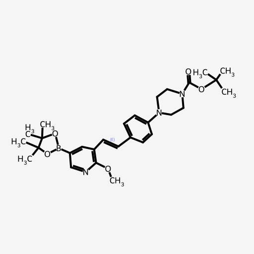 COc1ncc(B2OC(C)(C)C(C)(C)O2)cc1/C=C/c1ccc(N2CCN(C(=O)OC(C)(C)C)CC2)cc1